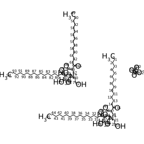 CCCCCCCCCCCCCCCC(=O)C(C[N+](C)(CCO)CC(C(=O)O)C(=O)CCCCCCCCCCCCCCC)C(=O)O.CCCCCCCCCCCCCCCC(=O)C(C[N+](C)(CCO)CC(C(=O)O)C(=O)CCCCCCCCCCCCCCC)C(=O)O.O=S(=O)([O-])[O-]